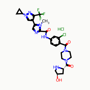 Cl.Cn1c(-c2cn(C3CC3)nc2C(F)(F)F)cnc1C(=O)Nc1ccc(C(=O)N2CCN(C(=O)[C@@H]3C[C@@H](O)CN3)CC2)c(Cl)c1